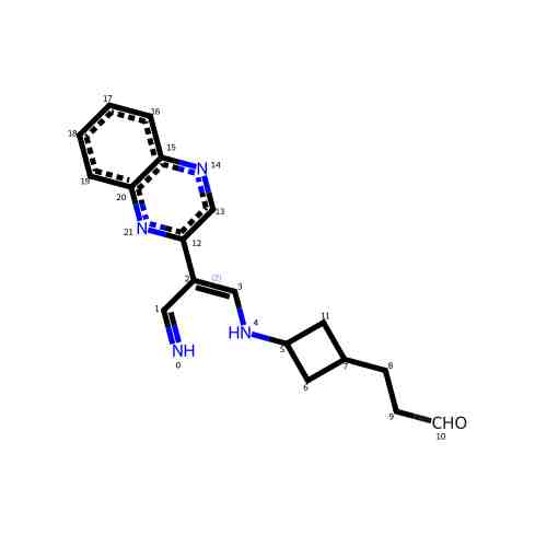 N=C/C(=C\NC1CC(CCC=O)C1)c1cnc2ccccc2n1